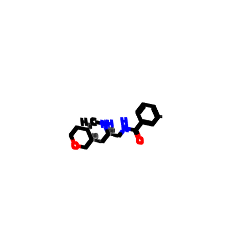 CN[C@H](CNC(=O)c1c[c]ccc1)C[C@H]1CCCOC1